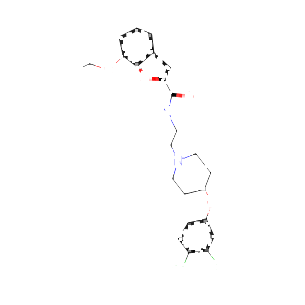 CCOc1cccc2cc(C(=O)NCCN3CCC(Oc4ccc(Cl)c(Cl)c4)CC3)oc12